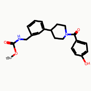 CC(C)(C)OC(=O)NCc1cccc(C2CCN(C(=O)c3ccc(O)cc3)CC2)c1